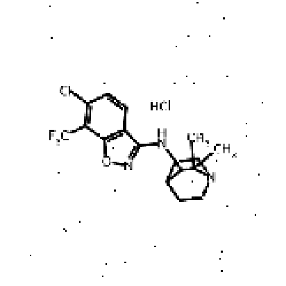 CC1(C)C(Nc2noc3c(C(F)(F)F)c(Cl)ccc23)C2CCN1CC2.Cl